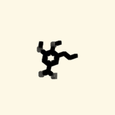 CCCc1cc(C(=O)Cl)cc(OC)c1OC